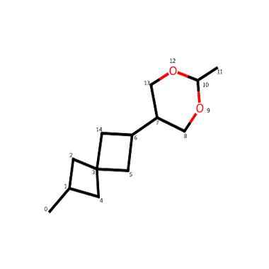 CC1CC2(C1)CC(C1COC(C)OC1)C2